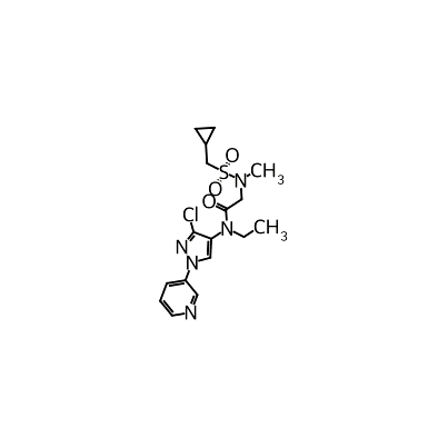 CCN(C(=O)CN(C)S(=O)(=O)CC1CC1)c1cn(-c2cccnc2)nc1Cl